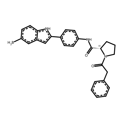 Bc1ccc2[nH]c(-c3ccc(NC(=O)[C@@H]4CCCN4C(=O)Cc4ccccc4)cc3)cc2c1